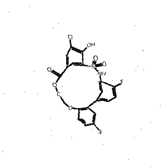 O=C1OCCOc2ccc(F)cc2-c2ccc(F)c(c2)NS(=O)(=O)c2cc1cc(Cl)c2O